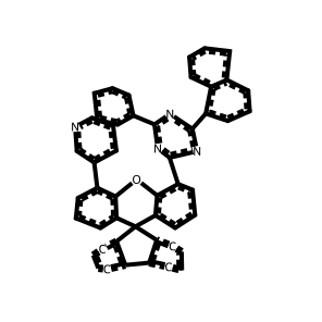 c1ccc(-c2nc(-c3cccc4c3Oc3c(-c5cccnc5)cccc3C43c4ccccc4-c4ccccc43)nc(-c3cccc4ccccc34)n2)cc1